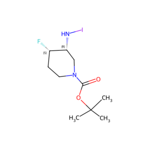 CC(C)(C)OC(=O)N1CC[C@H](F)[C@H](NI)C1